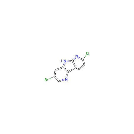 Clc1ccc2c(n1)[nH]c1cc(Br)cnc12